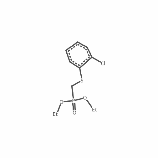 CCOP(=O)(CSc1ccccc1Cl)OCC